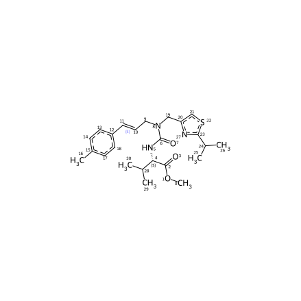 COC(=O)[C@@H](NC(=O)N(C/C=C/c1ccc(C)cc1)Cc1csc(C(C)C)n1)C(C)C